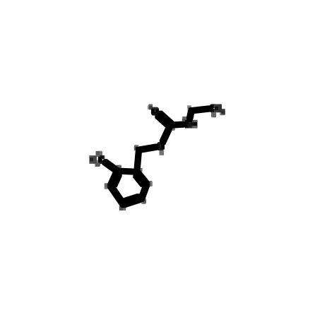 CCNC(=O)OCc1ccccc1C